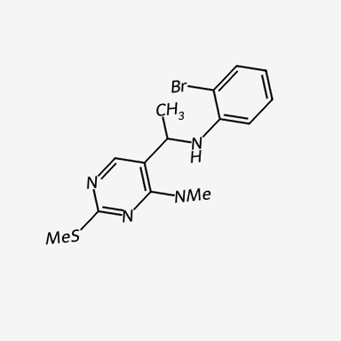 CNc1nc(SC)ncc1C(C)Nc1ccccc1Br